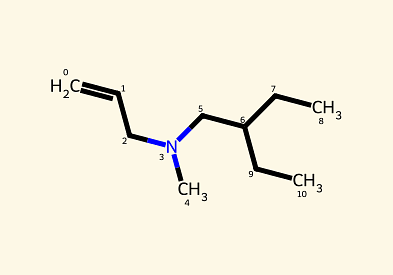 C=CCN(C)CC(CC)CC